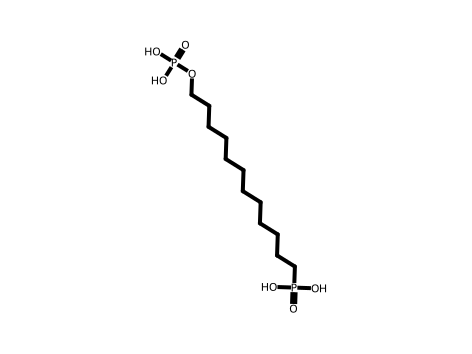 O=P(O)(O)CCCCCCCCCCCCOP(=O)(O)O